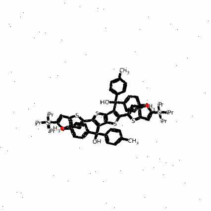 Cc1ccc(C(O)(c2ccc(C)cc2)c2c(-c3cc4sc([Si](C(C)C)(C(C)C)C(C)C)cc4s3)sc3c(C(O)(c4ccc(C)cc4)c4ccc(C)cc4)c(-c4cc5sc([Si](C(C)C)(C(C)C)C(C)C)cc5s4)sc23)cc1